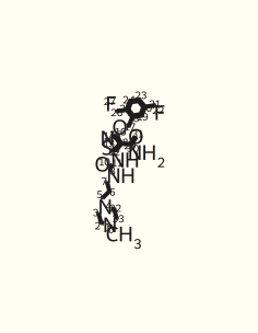 CN1CCN(CCCNC(=O)Nc2snc(OCc3cc(CF)ccc3CF)c2C(N)=O)CC1